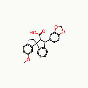 CCC1(c2cccc(OC)c2)c2ccccc2C(c2ccc3c(c2)OCO3)C1C(=O)O